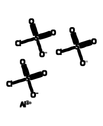 O=S(=O)([O-])Cl.O=S(=O)([O-])Cl.O=S(=O)([O-])Cl.[Al+3]